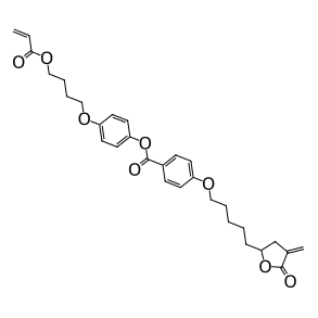 C=CC(=O)OCCCCOc1ccc(OC(=O)c2ccc(OCCCCCC3CC(=C)C(=O)O3)cc2)cc1